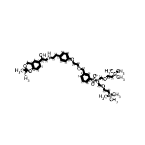 CC1(C)OCc2cc([C@H](O)CNCCc3ccc(OCCOCc4cccc(S(=O)(=O)N(COCC[Si](C)(C)C)COCC[Si](C)(C)C)c4)cc3)ccc2O1